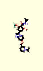 COc1cc(-c2cnc3cc(OCC4CCCN(C(C)C)C4)ccn23)cc(OC(F)F)c1C(=O)NC1CC1